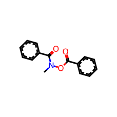 CN(OC(=O)c1ccccc1)C(=O)c1ccccc1